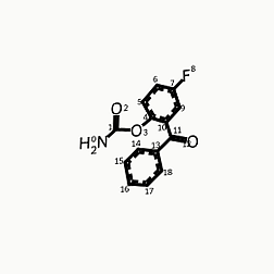 NC(=O)Oc1ccc(F)cc1C(=O)c1ccccc1